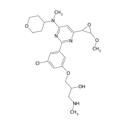 CNCC(O)COc1cc(Cl)cc(-c2nc(C3OC3OC)cc(N(C)C3CCOCC3)n2)c1